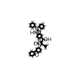 O=c1n(-c2ccc3oc4ccccc4c3c2)c(C2=CC2)c2n1-c1cc3c(cc1C2O)N1c2ccccc2N(c2ccccc2)C1N3